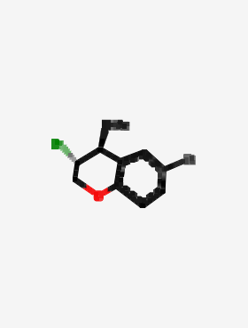 CCc1ccc2c(c1)[C@H](NC(C)=O)[C@@H](Br)CO2